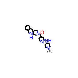 CC(=O)N1CCC(Nc2cc(C(=O)N3CCC4(CC3)Cc3ccccc3CN4)ccn2)CC1